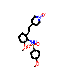 COc1ccc(S(=O)(=O)Nc2c(C=Cc3cc[n+]([O-])cc3)cccc2OC)cc1